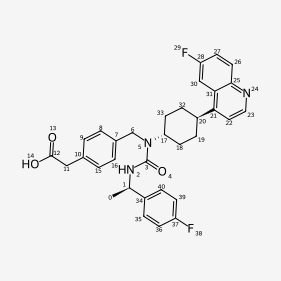 C[C@@H](NC(=O)N(Cc1ccc(CC(=O)O)cc1)[C@H]1CC[C@H](c2ccnc3ccc(F)cc32)CC1)c1ccc(F)cc1